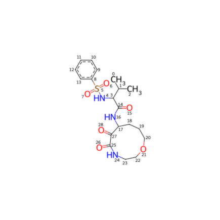 CC(C)C(NS(=O)(=O)c1ccccc1)C(=O)NC1CCCOCCNC(=O)C1=O